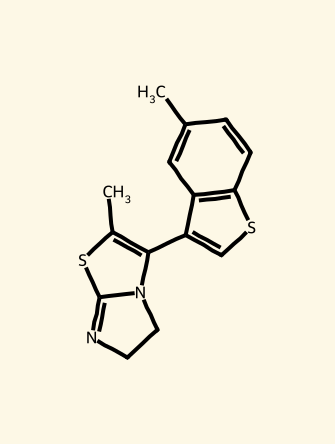 CC1=C(c2csc3ccc(C)cc23)N2CCN=C2S1